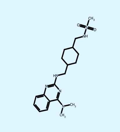 CN(C)c1nc(NCC2CCC(CNS(C)(=O)=O)CC2)nc2ccccc12